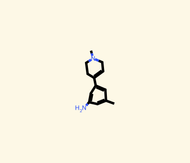 Cc1cc(N)cc(C2=CCN(C)CC2)c1